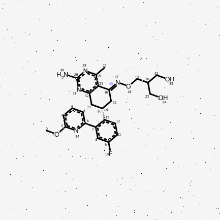 COc1cccc(-c2cc(F)ccc2[C@H]2C/C(=N\OCC(CO)CO)c3c(C)nc(N)nc3C2)n1